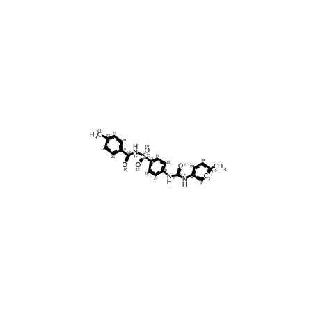 Cc1ccc(NC(=O)Nc2ccc(S(=O)(=O)NC(=O)c3ccc(C)cc3)cc2)cc1